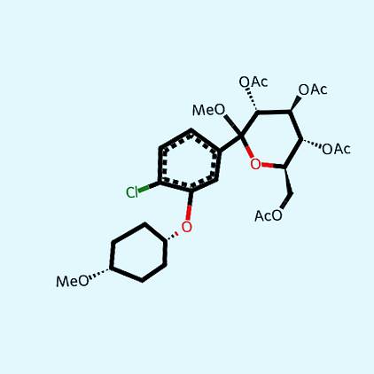 COC1(c2ccc(Cl)c(O[C@H]3CC[C@@H](OC)CC3)c2)O[C@H](COC(C)=O)[C@@H](OC(C)=O)[C@H](OC(C)=O)[C@H]1OC(C)=O